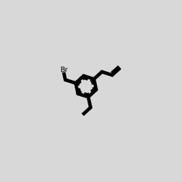 C=CCc1cc(CC)cc(CBr)c1